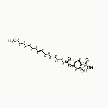 CCCCCCCCC=CCCCCCCCC(=O)Oc1ccc(C(=O)O)c(O)c1